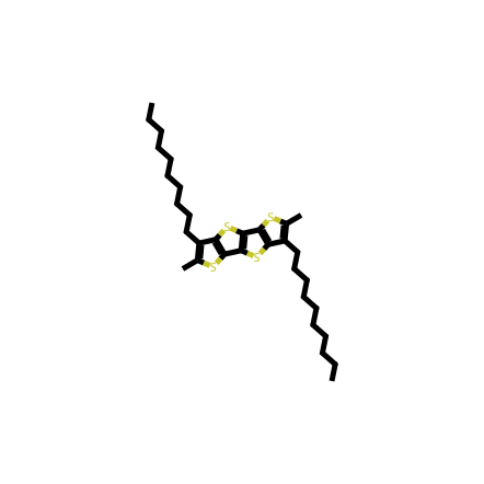 CCCCCCCCCCc1c(C)sc2c1sc1c3sc(C)c(CCCCCCCCCC)c3sc21